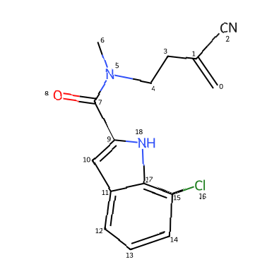 C=C(C#N)CCN(C)C(=O)c1cc2cccc(Cl)c2[nH]1